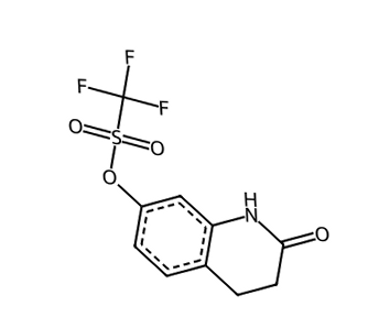 O=C1CCc2ccc(OS(=O)(=O)C(F)(F)F)cc2N1